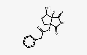 O=C(Cc1ccccc1)S[C@@]12CC[C@@H](O)[C@@H]1C(=O)NC2=O